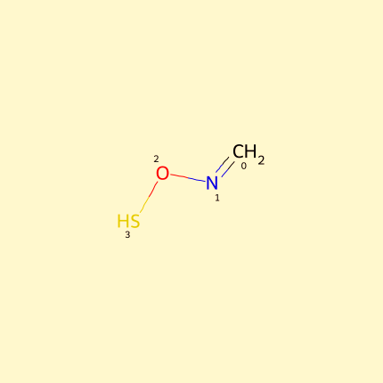 C=NOS